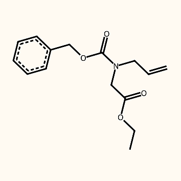 C=CCN(CC(=O)OCC)C(=O)OCc1ccccc1